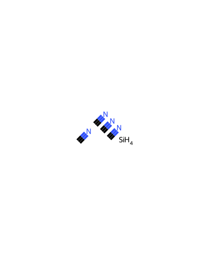 C#N.C#N.C#N.C#N.[SiH4]